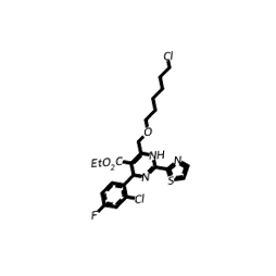 CCOC(=O)C1=C(COCCCCCCCl)NC(c2nccs2)=NC1c1ccc(F)cc1Cl